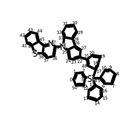 c1ccc([Si](c2ccccc2)(c2ccccc2)c2cccc(-c3ccc4c(c3)c3ccccc3n4-c3ccc4sc5ccccc5c4n3)c2)cc1